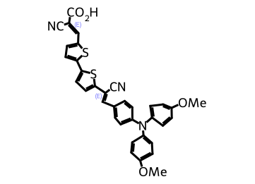 COc1ccc(N(c2ccc(/C=C(\C#N)c3ccc(-c4ccc(/C=C(\C#N)C(=O)O)s4)s3)cc2)c2ccc(OC)cc2)cc1